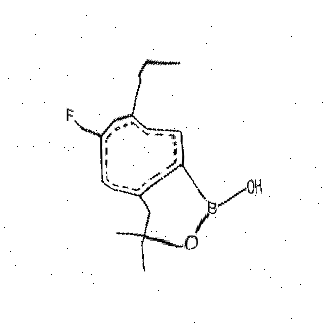 CCc1cc2c(cc1F)C(C)(C)OB2O